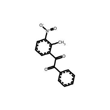 Cc1c(C(=O)C(=O)c2ccccc2)cccc1[N+](=O)[O-]